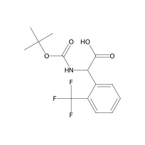 CC(C)(C)OC(=O)NC(C(=O)O)c1ccccc1C(F)(F)F